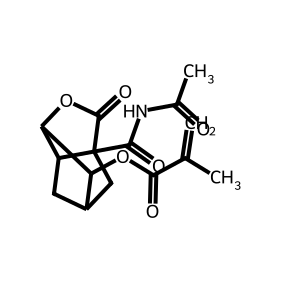 C=C(C)C(=O)OC1C2CC3C1OC(=O)C3(C(=O)NC(C)=O)C2